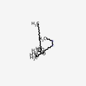 CCCCC/C=C\C/C=C\CCCCCCCC(=O)N(CCCN(C)C)C(C(=O)NCCCCCCCCCCCCCCCCCC)C(C)C